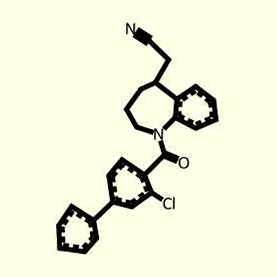 N#CCC1CCCN(C(=O)c2ccc(-c3ccccc3)cc2Cl)c2ccccc21